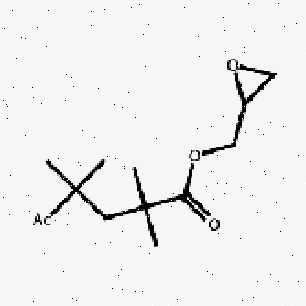 CC(=O)C(C)(C)CC(C)(C)C(=O)OCC1CO1